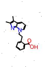 Cc1nc2n(CCc3ccccc3C(=O)O)cccc-2c1C